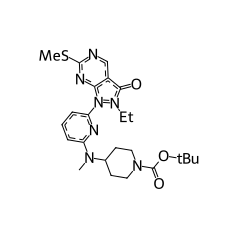 CCn1c(=O)c2cnc(SC)nc2n1-c1cccc(N(C)C2CCN(C(=O)OC(C)(C)C)CC2)n1